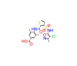 Cc1cc(C(=O)O)cc(C)c1NC(=O)c1sccc1S(=O)(=O)Nc1onc(C)c1Cl